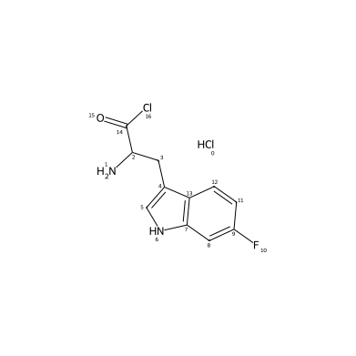 Cl.NC(Cc1c[nH]c2cc(F)ccc12)C(=O)Cl